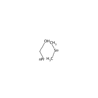 CCCCO.[CH3][Sn][CH3]